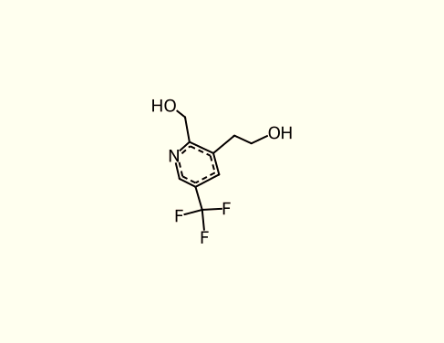 OCCc1cc(C(F)(F)F)cnc1CO